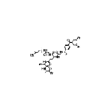 CC(C)SCC(CSC(C)C)C(=O)c1ccc(C(=O)NCC(=O)NC(CCC(=O)NC(C(=O)NC(C)C(=O)C(C)C)C(C)C)C(=O)NCC(=O)NC(C)(C)CCOC(C)(C)C)cc1